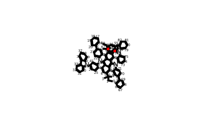 CCC(C)(C)c1ccc2c(N(c3ccc(-c4ccccc4)cc3)c3cccc(-n4c5ccccc5c5ccccc54)c3)c3cc(C(C)(C)CC)c(C(C)(C)CC)cc3c(N(c3ccc(-c4ccccc4)cc3)c3cccc(-n4c5ccccc5c5ccccc54)c3)c2c1